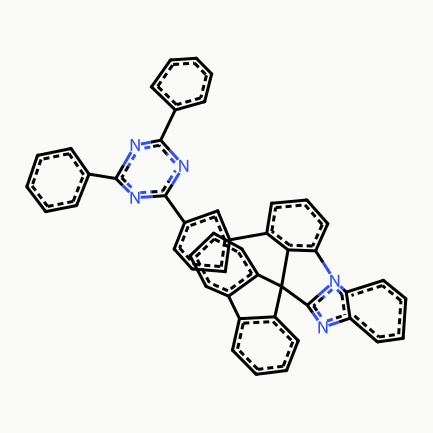 c1ccc(-c2nc(-c3ccccc3)nc(-c3cccc(-c4cccc5c4C4(c6ccccc6-c6ccccc64)c4nc6ccccc6n4-5)c3)n2)cc1